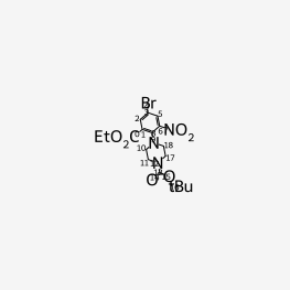 CCOC(=O)c1cc(Br)cc([N+](=O)[O-])c1N1CCN(C(=O)OC(C)(C)C)CC1